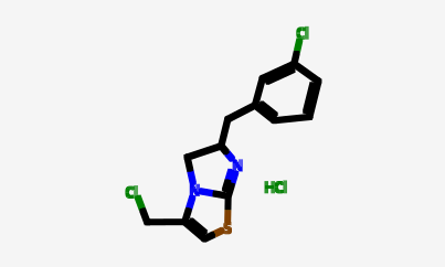 Cl.ClCC1=CSC2=NC(Cc3cccc(Cl)c3)CN12